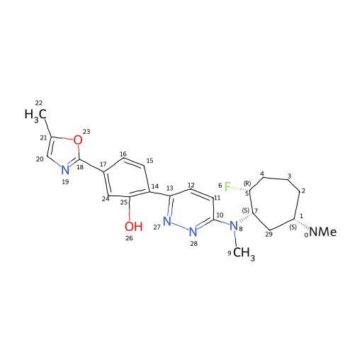 CN[C@H]1CCC[C@@H](F)[C@@H](N(C)c2ccc(-c3ccc(-c4ncc(C)o4)cc3O)nn2)C1